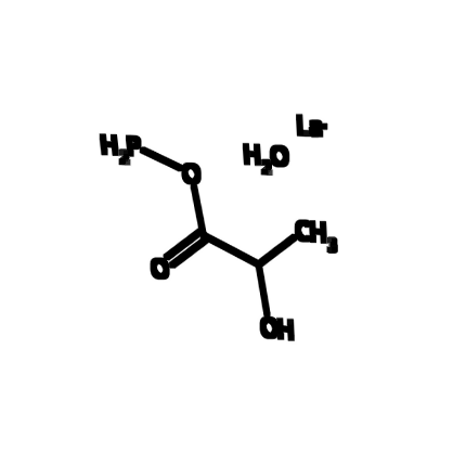 CC(O)C(=O)OP.O.[La]